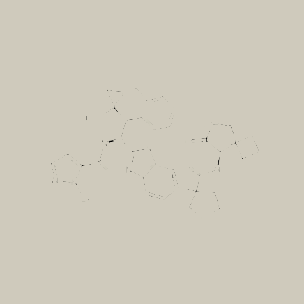 CCn1nccc1C(=O)N[C@H](c1nc2ccc(C3(C(=O)N[C@H]4C(=O)NCC45CCC5)CCOC3)cc2[nH]1)[C@H](c1ccccc1Cl)C1(C)CC1